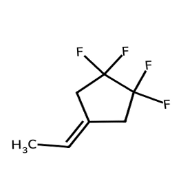 CC=C1CC(F)(F)C(F)(F)C1